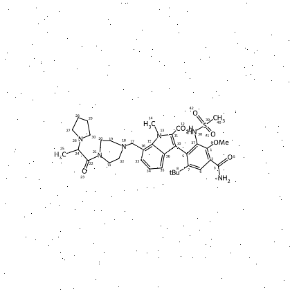 COc1c(C(N)=O)cc(C(C)(C)C)c(-c2c(C(=O)O)n(C)c3c(CN4CCN(C(=O)C(C)N5CCCC5)CC4)cccc23)c1NS(C)(=O)=O